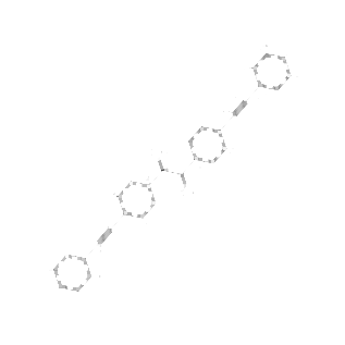 O=C(C(=O)c1ccc(C#Cc2ccccc2)cc1)c1ccc(C#Cc2ccccc2)cc1